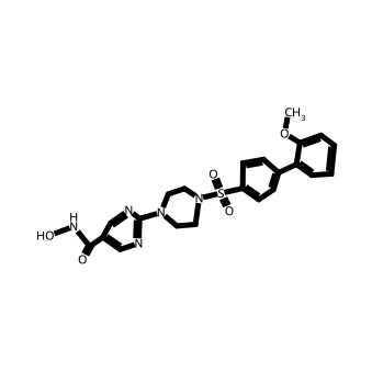 COc1ccccc1-c1ccc(S(=O)(=O)N2CCN(c3ncc(C(=O)NO)cn3)CC2)cc1